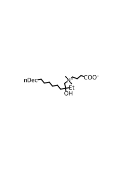 CCCCCCCCCCCCCCCCC(O)(CC)C[N+](C)(C)CCCC(=O)[O-]